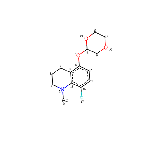 CC(=O)N1CCCc2c(OC3COCCO3)ccc(F)c21